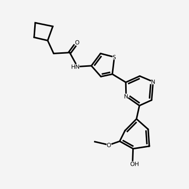 COc1cc(-c2cncc(-c3cc(NC(=O)CC4CCC4)cs3)n2)ccc1O